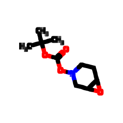 CC(C)(C)OC(=O)ON1CCC2OC2C1